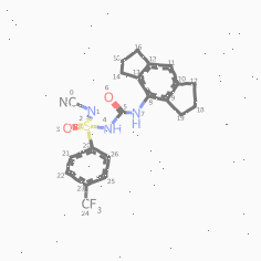 N#CN=S(=O)(NC(=O)Nc1c2c(cc3c1CCC3)CCC2)c1ccc(C(F)(F)F)cc1